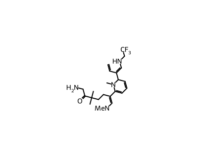 C=C/C(=C\NCC(F)(F)F)C1C=CC=C(/C(=C/NC)CCC(C)(C)C(=O)CN)N1C